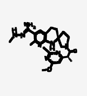 CN/N=C(\N)c1cc2c(nc1C)N[C@]1(CC2)CCN(C(=O)[C@H](C)c2cc(OC)nc(C)n2)C1